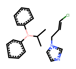 CC(C)B(c1ccccc1)c1ccccc1.ClC=CCn1ccnc1